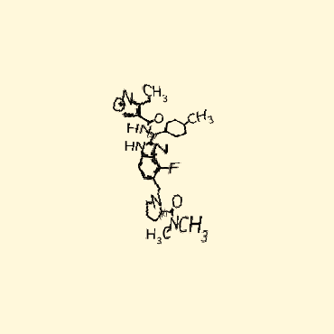 CCc1nocc1C(=O)N[C@H](c1nc2c(F)c(CN3CCC[C@@H]3C(=O)N(C)C)ccc2[nH]1)C1CCC(C)CC1